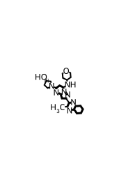 Cc1nc2ccccc2nc1-c1cc2nc(N3CC[C@H](O)C3)cc(NC3CCOCC3)n2n1